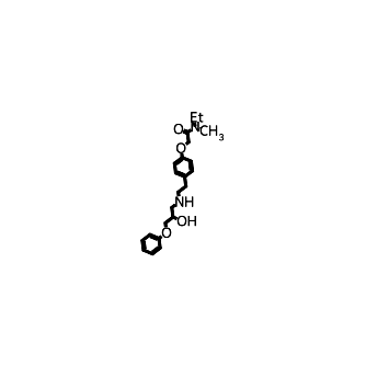 CCN(C)C(=O)COc1ccc(CCNCC(O)COc2ccccc2)cc1